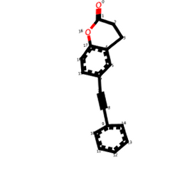 O=C1CCc2cc(C#Cc3ccccc3)ccc2O1